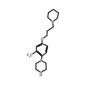 FC(F)(F)c1cc(OCCCN2CCCCC2)ccc1N1CCNCC1